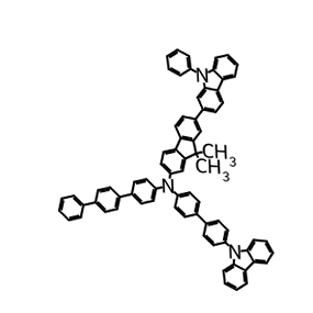 CC1(C)c2cc(-c3ccc4c5ccccc5n(-c5ccccc5)c4c3)ccc2-c2ccc(N(c3ccc(-c4ccc(-c5ccccc5)cc4)cc3)c3ccc(-c4ccc(-n5c6ccccc6c6ccccc65)cc4)cc3)cc21